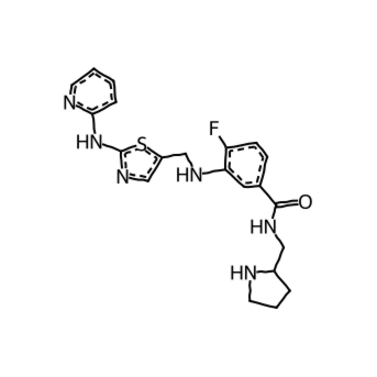 O=C(NCC1CCCN1)c1ccc(F)c(NCc2cnc(Nc3ccccn3)s2)c1